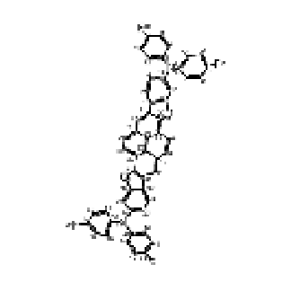 Fc1ccc(N(c2ccc(F)cc2)c2ccc3c(c2)oc2c3cc3ccc4c5oc6cc(N(c7ccc(F)cc7)c7ccc(F)cc7)ccc6c5cc5ccc2c3c54)cc1